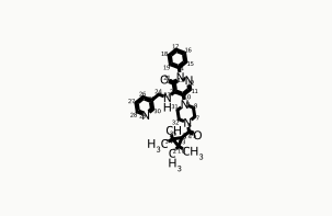 CC1(C)C(C(=O)N2CCN(c3cnn(-c4ccccc4)c(=O)c3NCc3cccnc3)CC2)C1(C)C